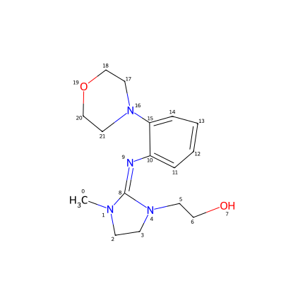 CN1CCN(CCO)C1=Nc1ccccc1N1CCOCC1